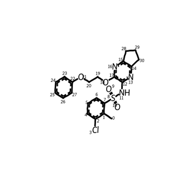 Cc1c(Cl)cccc1S(=O)(=O)Nc1nc2c(nc1OCCOc1ccccc1)CCC2